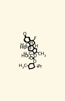 CC(C)[C@@H]1CC[C@@H](C)C[C@H]1OC(=O)O[C@@]1(C(=O)O)[C@H](C)C[C@H]2[C@@H]3C[C@H](F)C4=CC(=O)C=C[C@]4(C)C3(F)[C@@H](O)C[C@@]21C